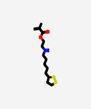 C=C(C)C(=O)OCCNCCCCCC1CCSS1